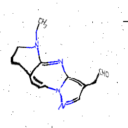 CN1CCc2cn3ncc(C=O)c3nc21